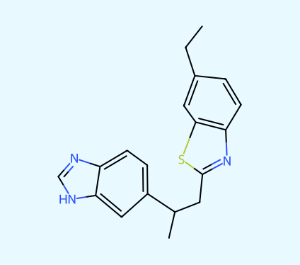 CCc1ccc2nc(CC(C)c3ccc4nc[nH]c4c3)sc2c1